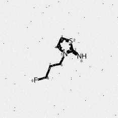 N=c1sccn1CCCF